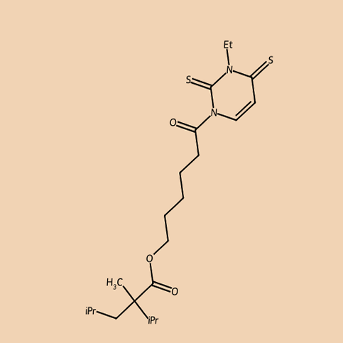 CCn1c(=S)ccn(C(=O)CCCCCOC(=O)C(C)(CC(C)C)C(C)C)c1=S